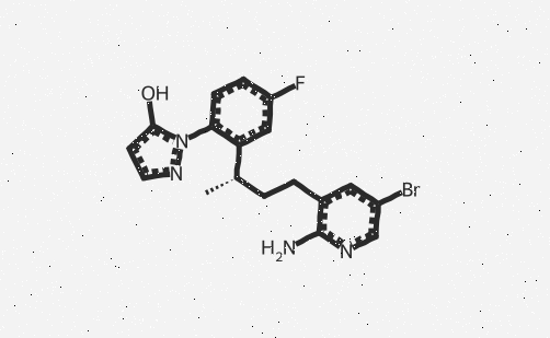 C[C@@H](CCc1cc(Br)cnc1N)c1cc(F)ccc1-n1nccc1O